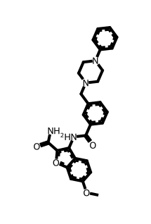 COc1ccc2c(NC(=O)c3cccc(CN4CCN(c5ccccc5)CC4)c3)c(C(N)=O)oc2c1